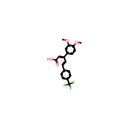 COc1ccc(C(/C=C/c2ccc(C(F)(F)F)cc2)=C/C(=O)O)cc1OC